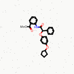 COC(=O)c1ccccc1NC(=O)C(Oc1ccc(OC2CCCC2)cc1)c1ccccc1